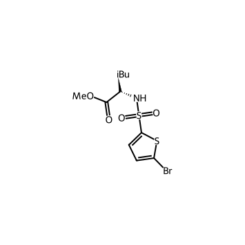 CC[C@H](C)[C@H](NS(=O)(=O)c1ccc(Br)s1)C(=O)OC